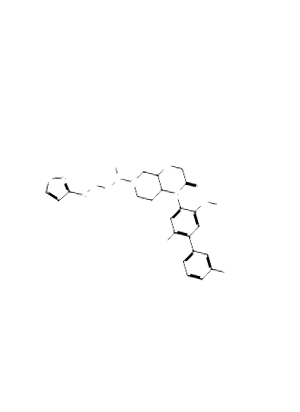 COc1cc(-c2cccc(Cl)c2)c(F)cc1N1C(=O)COC2CN(N(C)SONc3ccon3)CCC21.S